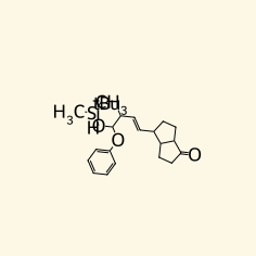 C[SiH](C)OC(Oc1ccccc1)C(C=CC1CCC2C(=O)CCC12)C(C)(C)C